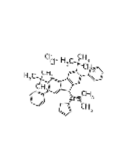 C[Si](C)=[Zr+2]([C]1=CC=CC1)[CH]1c2cc(-c3ccccc3)c(C(C)(C)C)cc2-c2cc(C(C)(C)C)c(-c3ccccc3)cc21.[Cl-].[Cl-]